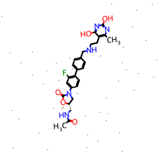 CC(=O)NC[C@H]1CN(c2ccc(-c3ccc(CNCCc4c(C)nc(O)nc4O)cc3)c(F)c2)C(=O)O1